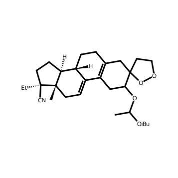 CC[C@]1(C#N)CC[C@H]2[C@@H]3CCC4=C(CC(OC(C)OCC(C)C)C5(CCOO5)C4)C3=CC[C@@]21C